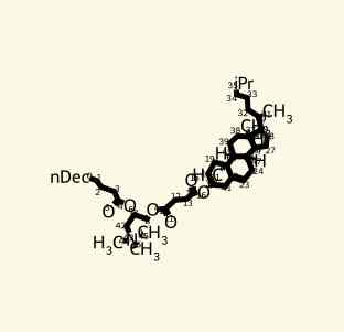 CCCCCCCCCCCCCC(=O)OC(COC(=O)CCC(=O)O[C@H]1CC[C@@]2(C)C(=CC[C@H]3[C@@H]4CC[C@H]([C@H](C)CCCC(C)C)[C@@]4(C)CC[C@@H]32)C1)C[N+](C)(C)C